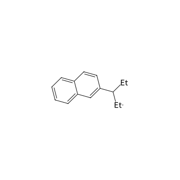 C[CH]C(CC)c1ccc2ccccc2c1